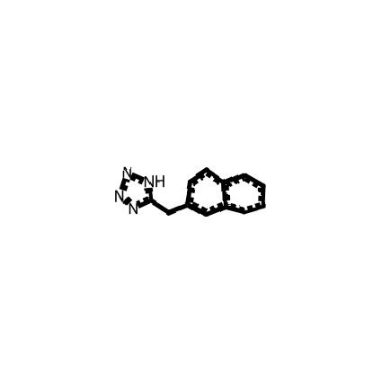 c1ccc2cc(Cc3nnn[nH]3)ccc2c1